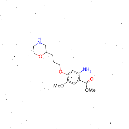 COC(=O)c1cc(OC)c(OCCCC2CNCCO2)cc1N